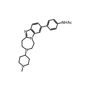 CC(=O)Nc1ccc(-c2ccc3nc4n(c3c2)CCN(C2CCN(C)CC2)CC4)cc1